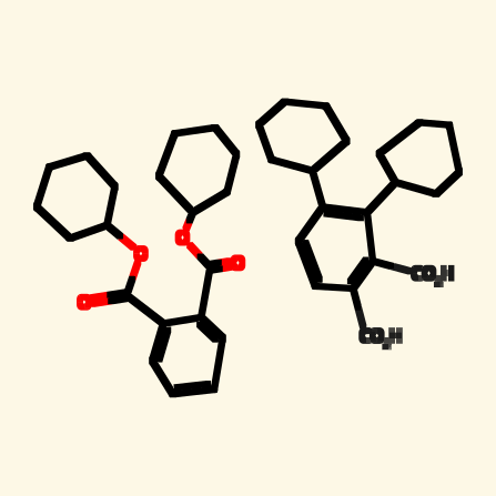 O=C(O)c1ccc(C2CCCCC2)c(C2CCCCC2)c1C(=O)O.O=C(OC1CCCCC1)c1ccccc1C(=O)OC1CCCCC1